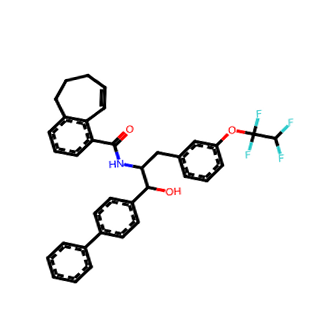 O=C(NC(Cc1cccc(OC(F)(F)C(F)F)c1)C(O)c1ccc(-c2ccccc2)cc1)c1cccc2c1C=CCCC2